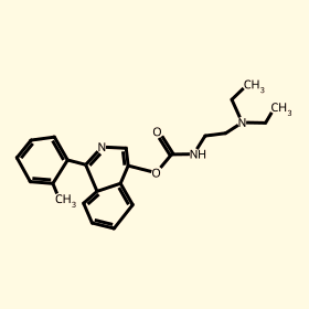 CCN(CC)CCNC(=O)Oc1cnc(-c2ccccc2C)c2ccccc12